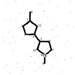 CC1CCC(C2CCN(C)C2)C1